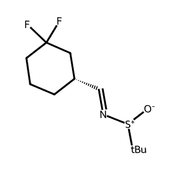 CC(C)(C)[S+]([O-])/N=C/[C@@H]1CCCC(F)(F)C1